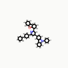 c1ccc(-c2ccc(-c3cc(-c4ccc5c(c4)c4ccccc4n5-c4ccccc4)cc(-c4cccc5c4oc4ccccc45)n3)cc2)cc1